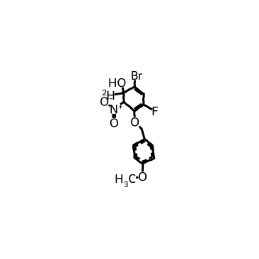 [2H]C1(O)C(Br)=CC(F)=C(OCc2ccc(OC)cc2)C1[N+](=O)[O-]